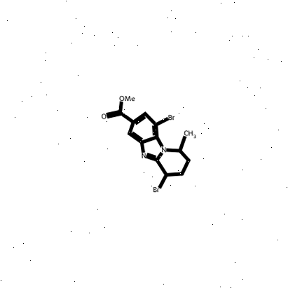 COC(=O)c1cc(Br)c2c(c1)nc1n2C(C)CCC1Br